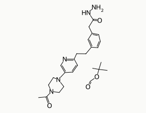 CC(=O)N1CCN(c2ccc(CCc3cccc(CC(=O)NN)c3)nc2)CC1.CC(C)(C)OC=O